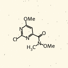 COc1cc(C(=O)N(C)OC)nc(Cl)n1